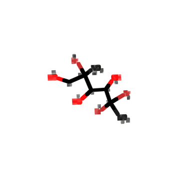 O=[N+]([O-])C(Br)(Br)C(O)C(O)C(Br)(CO)[N+](=O)[O-]